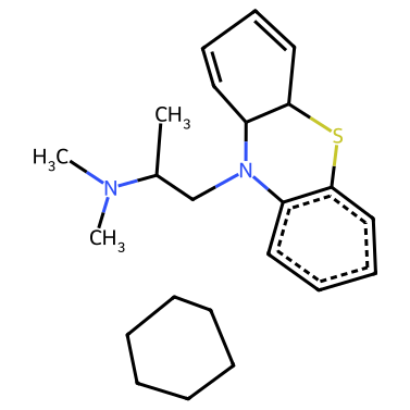 C1CCCCC1.CC(CN1c2ccccc2SC2C=CC=CC21)N(C)C